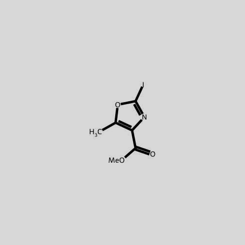 COC(=O)c1nc(I)oc1C